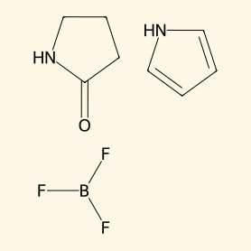 FB(F)F.O=C1CCCN1.c1cc[nH]c1